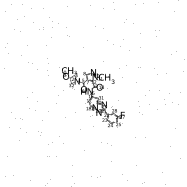 COC1CN(C(=O)c2cnn(C)c2C(=O)Nc2ccn3nc(-c4cccc(F)c4)nc3c2)C1